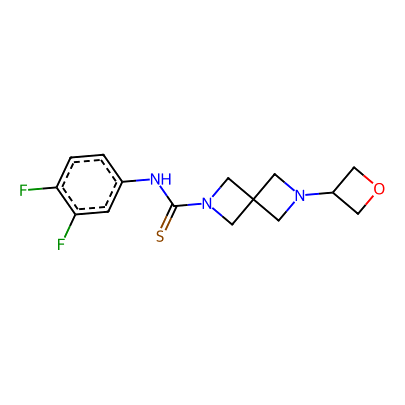 Fc1ccc(NC(=S)N2CC3(C2)CN(C2COC2)C3)cc1F